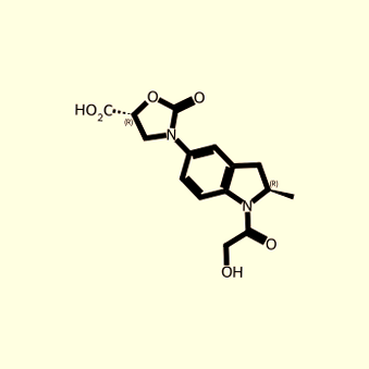 C[C@@H]1Cc2cc(N3C[C@H](C(=O)O)OC3=O)ccc2N1C(=O)CO